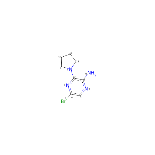 Nc1ncc(Br)nc1N1CCCC1